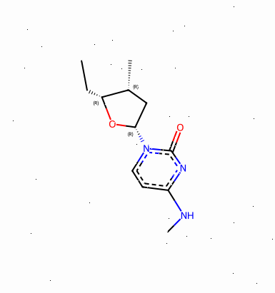 CC[C@H]1O[C@@H](n2ccc(NC)nc2=O)C[C@H]1C